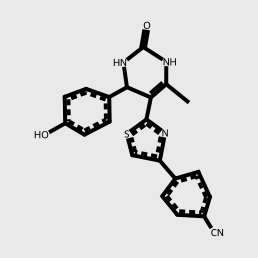 CC1=C(c2nc(-c3ccc(C#N)cc3)cs2)C(c2ccc(O)cc2)NC(=O)N1